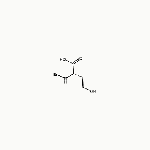 O=C(O)[C@H](CCO)NBr